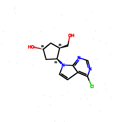 OC[C@@H]1C[C@@H](O)C[C@@H]1n1ccc2c(Cl)ncnc21